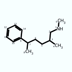 CNCC(C)CCC(C)c1ccccc1